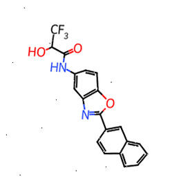 O=C(Nc1ccc2oc(-c3ccc4ccccc4c3)nc2c1)C(O)C(F)(F)F